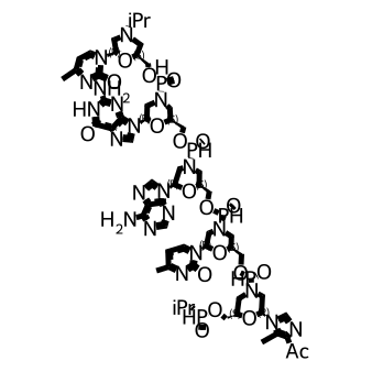 CC(=O)c1ncn([C@H]2CN([PH](=O)OC[C@@H]3CN([PH](=O)OC[C@@H]4CN([PH](=O)OC[C@@H]5CN([PH](=O)OC[C@@H]6CN(C(C)C)C[C@H](n7ccc(C)nc7=O)O6)C[C@H](n6cnc7c(=O)[nH]c(N)nc76)O5)C[C@H](n5cnc6c(N)ncnc65)O4)C[C@H](n4ccc(C)nc4=O)O3)C[C@@H](CO[PH](=O)C(C)C)O2)c1C